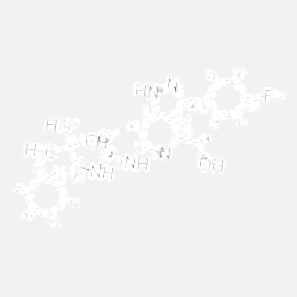 CC(C)(O)[C@@H](NC(=O)Nc1cc2[nH]nc(-c3ccc(F)cc3)c2c(CO)n1)c1ccccc1